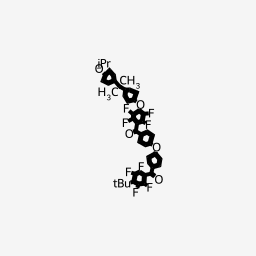 CC(C)Oc1ccc(C(C)(C)c2ccc(Oc3c(F)c(F)c(C(=O)c4ccc(Oc5ccc(C(=O)c6c(F)c(F)c(C(C)(C)C)c(F)c6F)cc5)cc4)c(F)c3F)cc2)cc1